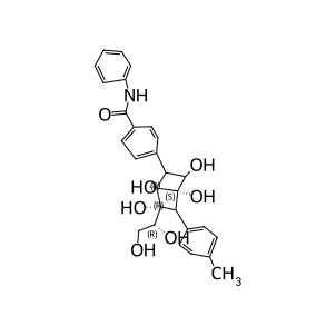 Cc1ccc(C2[C@]3(O)C(O)C(c4ccc(C(=O)Nc5ccccc5)cc4)[C@]3(O)[C@]2(O)[C@H](O)CO)cc1